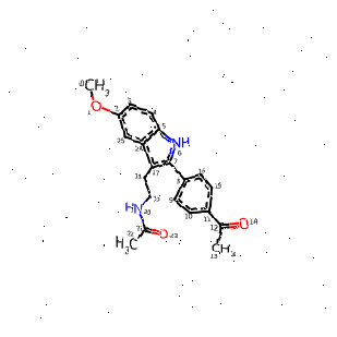 COc1ccc2[nH]c(-c3ccc(C(C)=O)cc3)c(CCNC(C)=O)c2c1